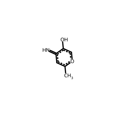 Cc1cc(=N)c(O)co1